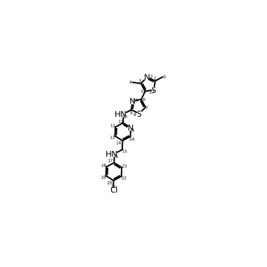 Cc1nc(C)c(-c2csc(Nc3ccc(CNc4ccc(Cl)cc4)cn3)n2)s1